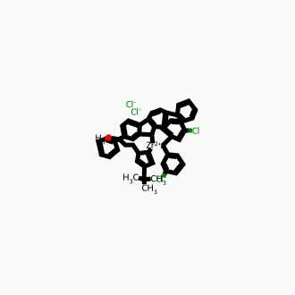 CCCCC1C=C(C(C)(C)C)C=[C]1[Zr+2](=[C](c1cccc(Cl)c1)c1cccc(Cl)c1)[CH]1c2cc(-c3ccccc3)ccc2-c2ccc(-c3ccccc3)cc21.[Cl-].[Cl-]